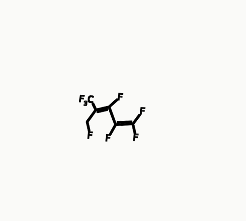 FCC(=C(F)C(F)=C(F)F)C(F)(F)F